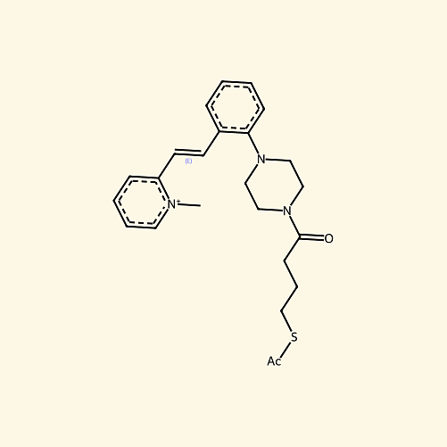 CC(=O)SCCCC(=O)N1CCN(c2ccccc2/C=C/c2cccc[n+]2C)CC1